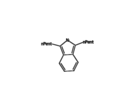 CCCCCC1=c2ccccc2=C(CCCCC)[N]1